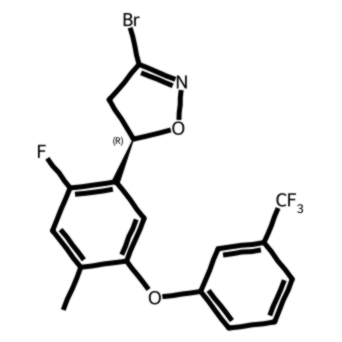 Cc1cc(F)c([C@H]2CC(Br)=NO2)cc1Oc1cccc(C(F)(F)F)c1